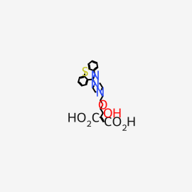 O=C(O)/C=C(/C(=O)O)C(O)COCCN1CCN(C2=Nc3ccccc3Sc3ccccc32)CC1